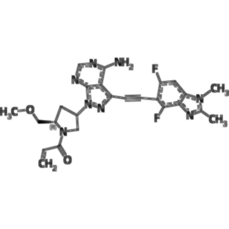 C=CC(=O)N1CC(n2nc(C#Cc3c(F)cc4c(nc(C)n4C)c3F)c3c(N)ncnc32)C[C@@H]1COC